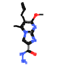 C=CCc1c(OC)nc2nc(C(=O)NN)cn2c1C